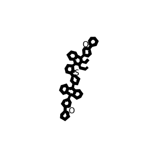 C=Cc1c(/C=C\C)c(-c2cccc3c2sc2ccc(-c4c5ccccc5c(-c5ccc6c(c5)oc5ccccc56)c5ccccc45)cc23)c2ccccc2c1-c1ccc2c(c1)oc1ccccc12